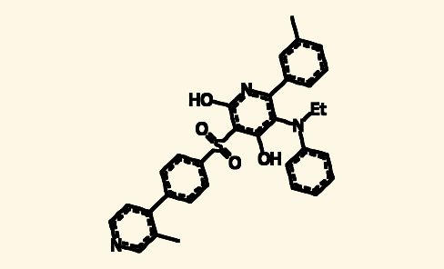 CCN(c1ccccc1)c1c(-c2cccc(C)c2)nc(O)c(S(=O)(=O)c2ccc(-c3ccncc3C)cc2)c1O